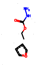 CCOC(=O)NN.c1ccoc1